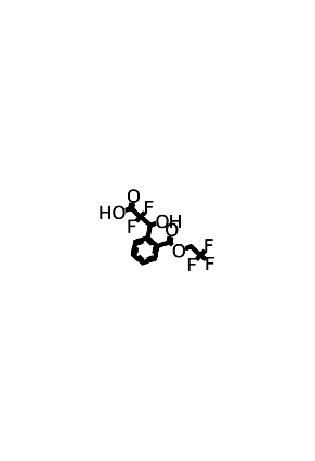 O=C(OCC(F)(F)F)c1ccccc1C(O)C(F)(F)C(=O)O